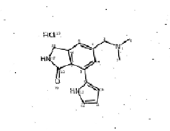 CN(C)Cc1cc2c(c(-c3ccc[nH]3)c1)C(=O)NC2.Cl